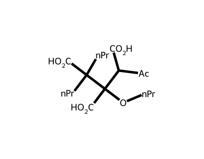 CCCOC(C(=O)O)(C(C(C)=O)C(=O)O)C(CCC)(CCC)C(=O)O